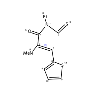 CCN(C=S)C(=O)/C(=C/c1cccs1)NC